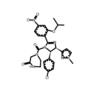 CC(C)Oc1cc([N+](=O)[O-])ccc1C1=N[C@@H](c2ccn(C)n2)[C@@H](c2ccc(Cl)cc2)N1C(=O)N1CCNC(=O)C1